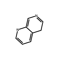 C1=C[N]C2=CN=CCC2=C1